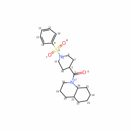 O=C(C1CCN(S(=O)(=O)c2ccccc2)CC1)N1CCCC2CCCCC21